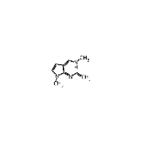 C=C/N=C1\C(=C/NC)C=CN1C